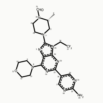 C[C@@H]1CN(c2nc3c(N4CCOCC4)nc(-c4cnc(N)nc4)nc3n2CC(F)(F)F)CCN1C=O